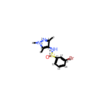 Cc1nn(C)c(C)c1N[S+]([O-])c1cccc(Br)c1